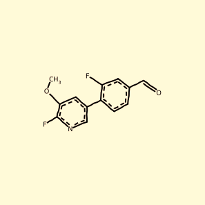 COc1cc(-c2ccc(C=O)cc2F)cnc1F